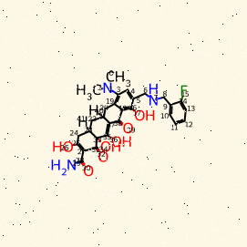 CN(C)c1cc(CNCc2ccccc2F)c(O)c2c1C[C@H]1C[C@H]3CC(O)=C(C(N)=O)C(=O)[C@@]3(O)C(O)=C1C2=O